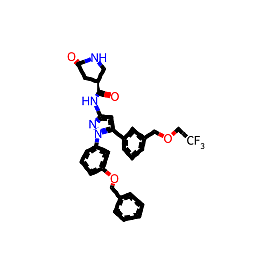 O=C1C[C@H](C(=O)Nc2cc(-c3cccc(COCC(F)(F)F)c3)n(-c3cccc(OCc4ccccc4)c3)n2)CN1